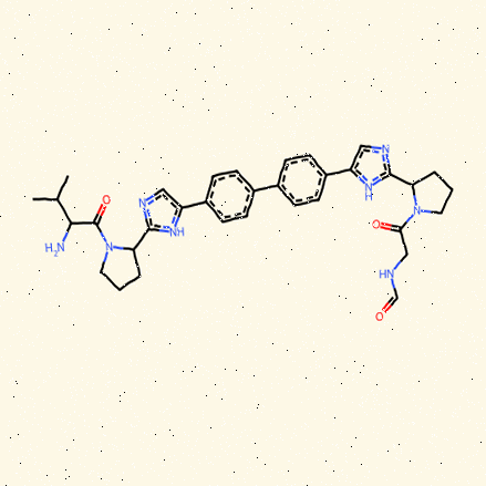 CC(C)C(N)C(=O)N1CCCC1c1ncc(-c2ccc(-c3ccc(-c4cnc(C5CCCN5C(=O)CNC=O)[nH]4)cc3)cc2)[nH]1